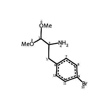 COC(OC)C(N)Cc1ccc(Br)cc1